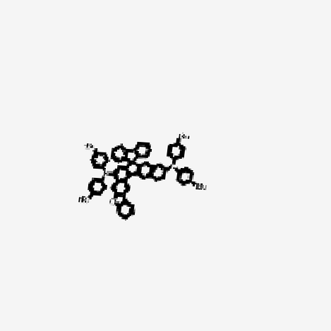 CC(C)(C)c1ccc(N(c2ccc(C(C)(C)C)cc2)c2ccc3cc4c(cc3c2)C2(c3ccccc3-c3ccccc32)c2cc(N(c3ccc(C(C)(C)C)cc3)c3ccc(C(C)(C)C)cc3)c3cc5oc6ccccc6c5cc3c2-4)cc1